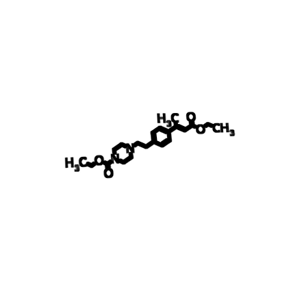 CCOC(=O)/C=C(\C)c1ccc(CCN2CCN(C(=O)OCC)CC2)cc1